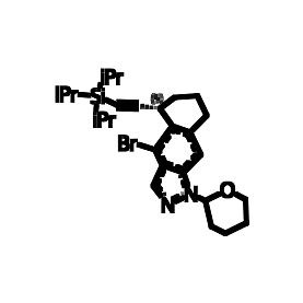 CC(C)[Si](C#C[C@@H]1CCCc2cc3c(cnn3C3CCCCO3)c(Br)c21)(C(C)C)C(C)C